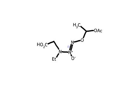 CCN(CC(=O)O)/[N+]([O-])=N/OC(C)OC(C)=O